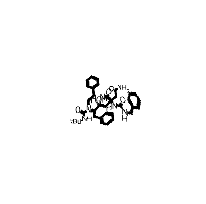 CC(C)(C)NC(=O)N(CCc1ccccc1)C(Cc1ccccc1)C(O)CC(CC(N)=O)(NC(=O)NCc1ccccc1)C(N)=O